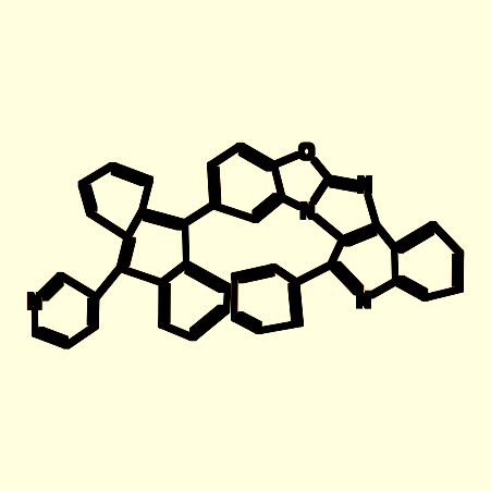 c1ccc(-c2nc3ccccc3c3nc4oc5ccc(-c6c7ccccc7c(-c7cccnc7)c7ccccc67)cc5n4c23)cc1